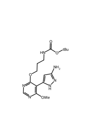 COc1ncnc(OCCCNC(=O)OC(C)(C)C)c1-c1cc(N)n[nH]1